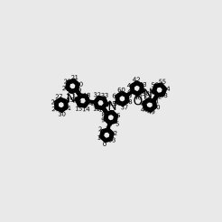 c1ccc(-c2ccc3c(c2)c2cc(-c4ccc5c(c4)c4ccccc4n5-c4ccccc4)ccc2n3-c2ccc(-c3cccc4c3Oc3cccc5c6ccccc6n-4c35)cc2)cc1